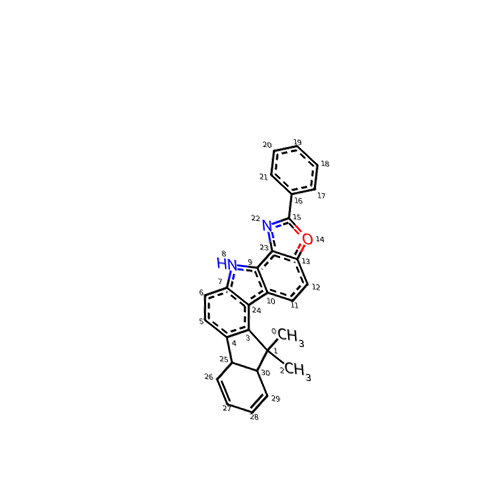 CC1(C)c2c(ccc3[nH]c4c(ccc5oc(-c6ccccc6)nc54)c23)C2C=CC=CC21